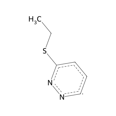 CCSc1cc[c]nn1